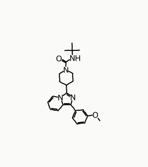 COc1cccc(-c2nc(C3CCN(C(=O)NC(C)(C)C)CC3)n3ccccc23)c1